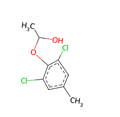 Cc1cc(Cl)c(OC(C)O)c(Cl)c1